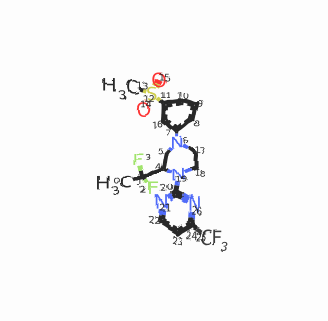 CC(F)(F)C1CN(c2cccc(S(C)(=O)=O)c2)CCN1c1nccc(C(F)(F)F)n1